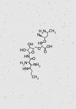 CCCC(=N)/C(N)=C(\N)C(=O)NC1OC(COC(POC(C#N)CC(C)N)C(=O)O)C(O)C1O